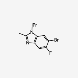 Cc1nc2cc(F)c(Br)cc2n1C(C)C